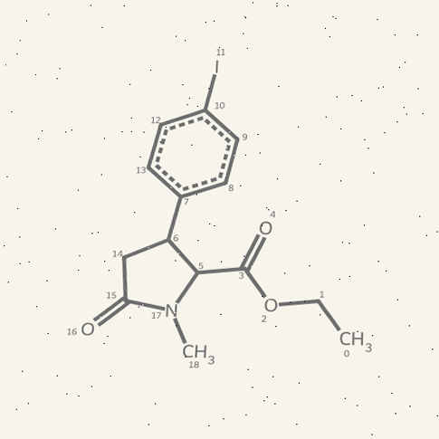 CCOC(=O)C1C(c2ccc(I)cc2)CC(=O)N1C